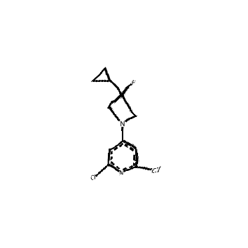 FC1(C2CC2)CN(c2cc(Cl)nc(Cl)c2)C1